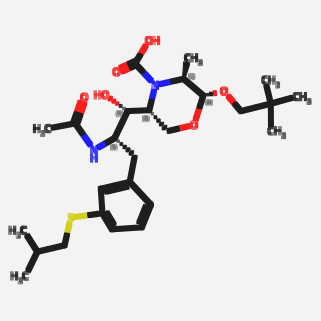 CC(=O)N[C@@H](Cc1cccc(SCC(C)C)c1)[C@H](O)[C@H]1CO[C@@H](OCC(C)(C)C)[C@H](C)N1C(=O)O